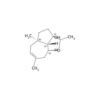 CC1=CC[C@@]2(C)CC[C@@]3(O)C(C)O[C@@H](C1)[C@H]23